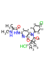 CN[C@@H](C)C(=O)Nc1ccc2c(n1)OC(C)(C)C(=O)N2c1ccc(Cl)cc1.Cl